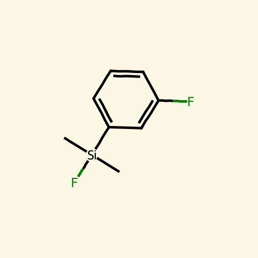 C[Si](C)(F)c1cccc(F)c1